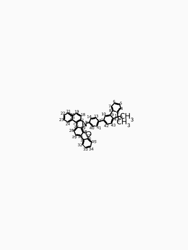 CC1(C)c2ccccc2-c2cc(-c3ccc(-n4c5ccc6ccccc6c5c5ccc6c7ccccc7oc6c54)cc3)ccc21